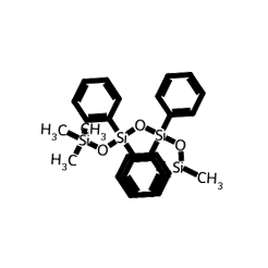 C[SiH2]O[Si](O[Si](O[Si](C)(C)C)(c1ccccc1)c1ccccc1)(c1ccccc1)c1ccccc1